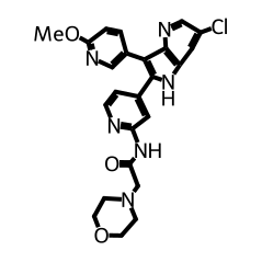 COc1ccc(-c2c(-c3ccnc(NC(=O)CN4CCOCC4)c3)[nH]c3cc(Cl)cnc23)cn1